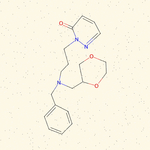 O=c1cccnn1CCCN(Cc1ccccc1)CC1COCCO1